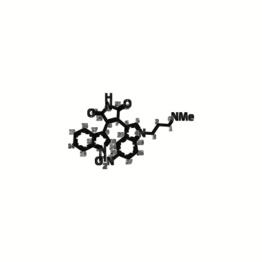 CNCCCn1cc(C2=C(c3c[nH]c4ccccc34)C(=O)NC2=O)c2cc([N+](=O)[O-])ccc21